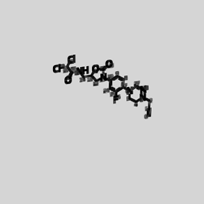 C#CCN1CCN(c2ccc(N3CC(CNC(=O)C(Cl)Cl)OC3=O)cc2F)C=N1